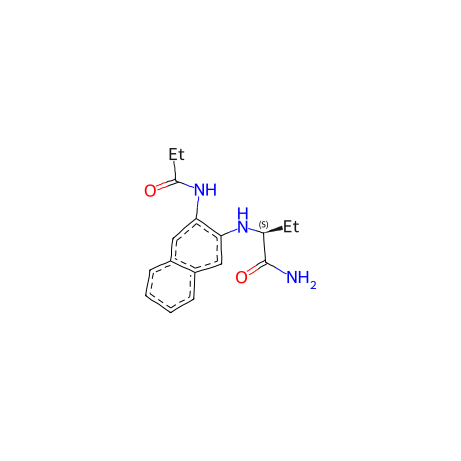 CCC(=O)Nc1cc2ccccc2cc1N[C@@H](CC)C(N)=O